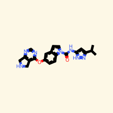 CC(C)c1cc(NC(=O)n2ccc3cc(Oc4ncnc5c4CNC5)ccc32)[nH]n1